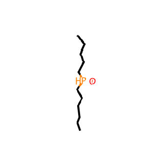 CCCCCC[PH](=O)CCCCC